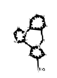 O=Cc1cc2n(c1)Cc1ccccc1-n1ccnc1-2